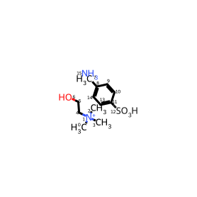 C[N+](C)(C)CCO.Cc1ccc(S(=O)(=O)O)cc1.N